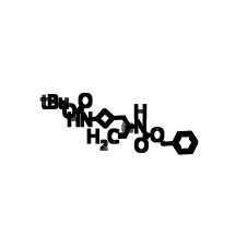 C=C[C@@H](CC1CC(NC(=O)OC(C)(C)C)C1)NC(=O)OCc1ccccc1